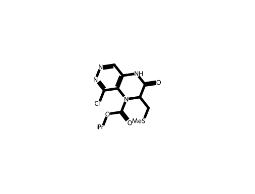 CSCC1C(=O)Nc2cnnc(Cl)c2N1C(=O)OC(C)C